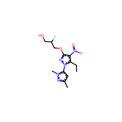 CCc1c([N+](=O)[O-])c(OCC(F)CO)nn1-c1cc(C)nn1C